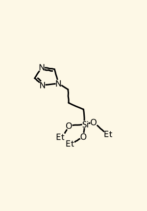 CCO[Si](CCCn1cncn1)(OCC)OCC